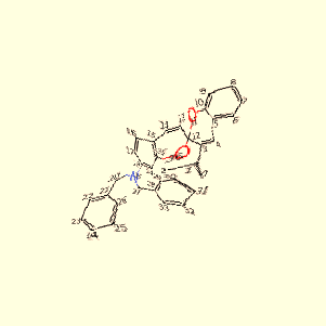 CC(C)C1=Cc2ccccc2OC12C=Cc1ccc(N(Cc3ccccc3)Cc3ccccc3)cc1O2